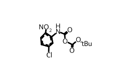 CC(C)(C)OC(=O)OC(=O)Nc1cc(Cl)ccc1[N+](=O)[O-]